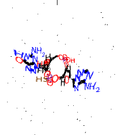 Nc1nc2c(nnn2[C@@H]2S[C@@H]3COP(=O)(O)O[C@H]4C[C@H](c5cnc6c(N)ncnn56)O[C@@H]4COP(=O)(S)O[C@@H]2[C@@H]3O)c(=O)[nH]1